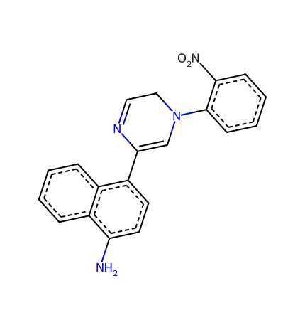 Nc1ccc(C2=CN(c3ccccc3[N+](=O)[O-])CC=N2)c2ccccc12